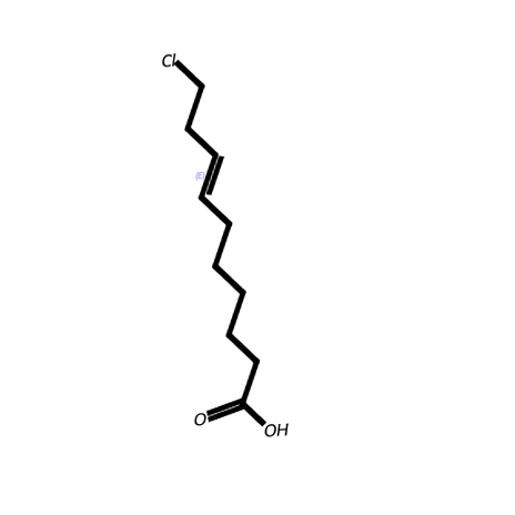 O=C(O)CCCCC/C=C/CCCl